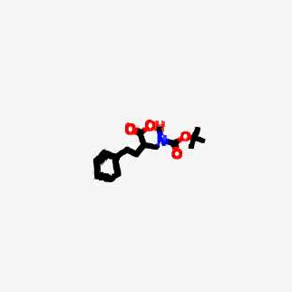 CN(CC(CCc1ccccc1)C(=O)O)C(=O)OC(C)(C)C